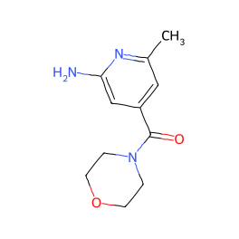 Cc1cc(C(=O)N2CCOCC2)cc(N)n1